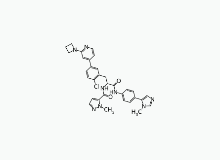 Cn1cncc1-c1ccc(NC(=O)C(Cc2cc(-c3ccnc(N4CCC4)c3)ccc2Cl)NC(=O)c2ccnn2C)cc1